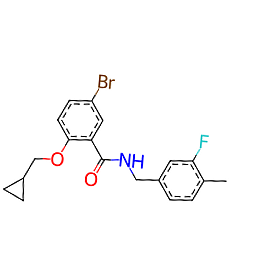 Cc1ccc(CNC(=O)c2cc(Br)ccc2OCC2CC2)cc1F